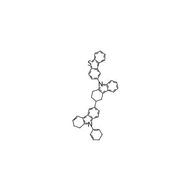 C1=CC(n2c3c(c4cc(C5CCc6c(c7ccccc7n6-c6ccc7sc8ccccc8c7c6)C5)ccc42)C=CCC3)=CCC1